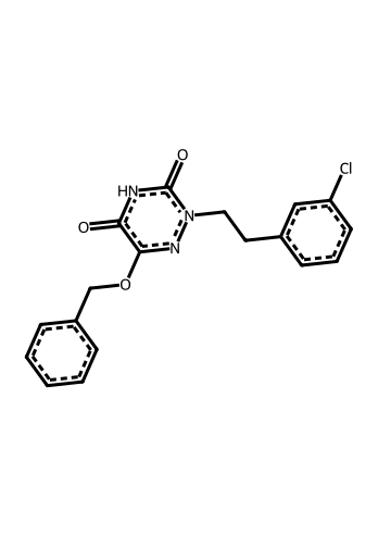 O=c1[nH]c(=O)n(CCc2cccc(Cl)c2)nc1OCc1ccccc1